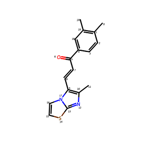 Cc1ccc(C(=O)/C=C/c2c(C)nc3sccn23)cc1C